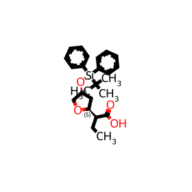 CCC(C(=O)O)[C@@H]1C[C@@H](O[Si](c2ccccc2)(c2ccccc2)C(C)(C)C)CO1